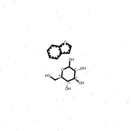 OC[C@H]1OC(O)[C@H](O)[C@@H](O)[C@@H]1O.c1ccc2occc2c1